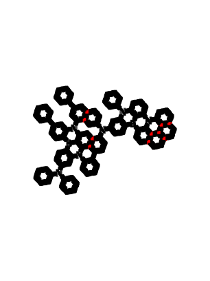 c1ccc(-c2cccc(N3c4cc(-c5ccccc5)ccc4B4c5ccc(N(c6ccccc6)c6ccccc6)cc5N(c5ccccc5-c5ccc(N(c6ccccc6)c6ccc7c(c6)N(c6ccccc6)c6cccc8c6B7c6cccc(-c7ccccc7)c6N8c6ccccc6-c6ccccc6)cc5)c5cccc3c54)c2)cc1